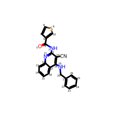 N#Cc1c(NC(=O)c2ccsc2)nc2ccccc2c1NCc1ccccc1